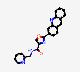 O=C(NCc1ccccn1)c1coc(-c2ccc3cc4ccccc4nc3c2)n1